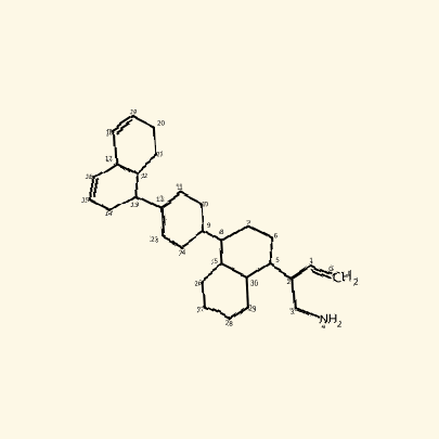 C=CC(CN)C1CCC(C2CCC(C3CC=CC4C=CCCC43)CC2)C2CCCCC12